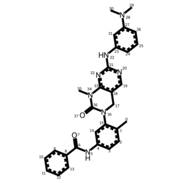 Cc1ccc(NC(=O)c2ccccc2)cc1N1Cc2cnc(Nc3cccc(N(C)C)c3)nc2N(C)C1=O